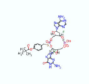 CC(C)(C)C(=O)Oc1ccc(CSP2(=O)OC[C@H]3O[C@@H](n4cnc5c(N)ncnc54)[C@H](F)[C@@H]3OCP(=O)(O)OC[C@H]3O[C@@H](n4cnc5c(=O)[nH]c(N)nc54)[C@H](O2)[C@@H]3F)cc1